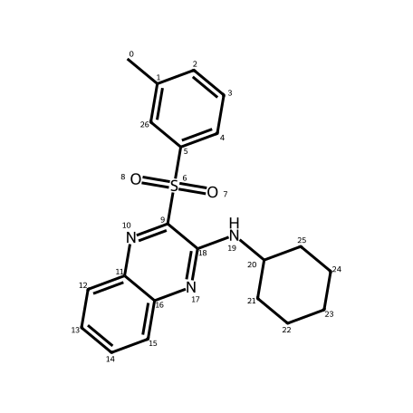 Cc1cccc(S(=O)(=O)c2nc3ccccc3nc2NC2CCCCC2)c1